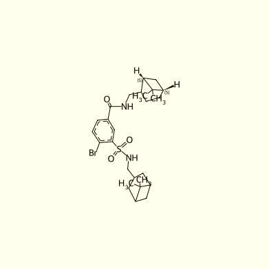 CC1(C)C2CC(CNS(=O)(=O)c3cc(C(=O)NCC4CC[C@H]5C[C@@H]4C5(C)C)ccc3Br)CC1C2